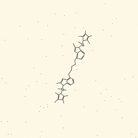 CC1=Cc2c(CCCCCc3cccc4c3C=C(C)C4[Si](C)(C)C3C(C)=C(C)C(C)=C3C)cccc2C1[Si](C)(C)C1C(C)=C(C)C(C)=C1C